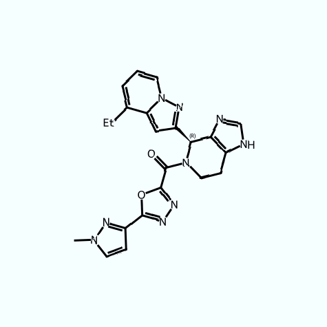 CCc1cccn2nc([C@H]3c4nc[nH]c4CCN3C(=O)c3nnc(-c4ccn(C)n4)o3)cc12